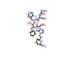 CCC(C)C(C(=O)NC(Cc1ccccc1)C(O)CN(Cc1ccncc1)NC(=O)C(NC(=O)OC)C(C)(C)C)N1CCN(CCc2cccc(C)n2)C1=O